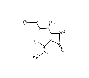 CSC(C)c1c(N(C)CCN)c(=S)c1=S